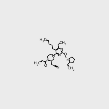 C=CCCCc1c(CC)nc(OC[C@@H]2CCCC2C=C)nc1N1CCN(C(=O)C=C)C(CC#N)C1